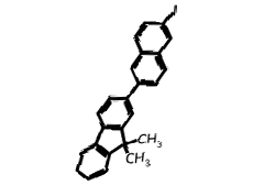 CC1(C)C2=C(CCC=C2)c2ccc(-c3ccc4cc(I)ccc4c3)cc21